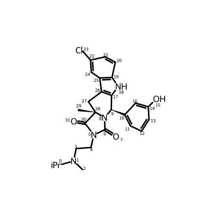 CC(C)N(C)CCN1C(=O)N2[C@H](c3cccc(O)c3)c3[nH]c4ccc(Cl)cc4c3C[C@@]2(C)C1=O